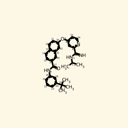 CC(C)NC(=N)c1cc(Oc2ccc3ccc(C(=O)Nc4cccc(C(C)(C)C)c4)cc3c2)ccn1